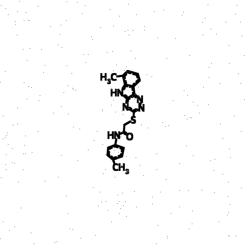 Cc1ccc(NC(=O)CSc2nnc3c(n2)[nH]c2c(C)cccc23)cc1